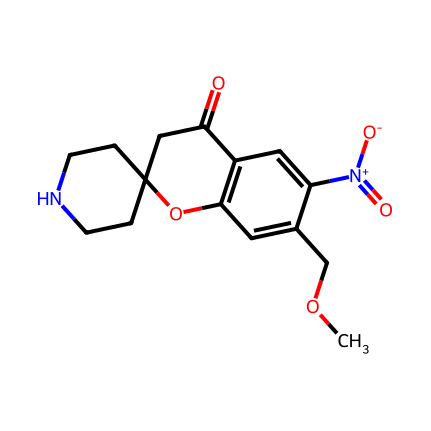 COCc1cc2c(cc1[N+](=O)[O-])C(=O)CC1(CCNCC1)O2